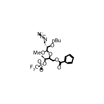 CCCCO[C@@H](CN=[N+]=[N-])[C@H](OC)OC(COC(=O)c1ccccc1)[C@H](C)OS(=O)(=O)C(F)(F)F